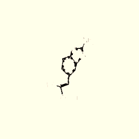 C/C(=C\c1ccc2oc(N)nc2c1)C(=O)O